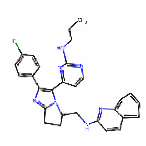 CCCNc1nccc(-c2c(-c3ccc(F)cc3)nc3n2C(CNc2ccc4ccccc4n2)CC3)n1